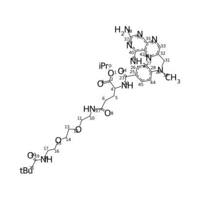 CC(C)OC(=O)C(CCC(=O)NCCOCCOCCNC(=O)C(C)(C)C)NC(=O)c1ccc(N(C)Cc2cnc3nc(N)nc(N)c3n2)cc1